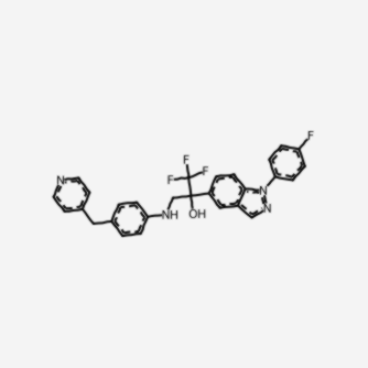 OC(CNc1ccc(Cc2ccncc2)cc1)(c1ccc2c(cnn2-c2ccc(F)cc2)c1)C(F)(F)F